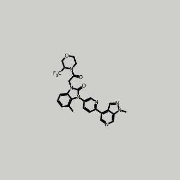 Cc1cccc2c1n(-c1ccc(-c3cncc4c3cnn4C)nc1)c(=O)n2CC(=O)N1CCOCC1C(F)(F)F